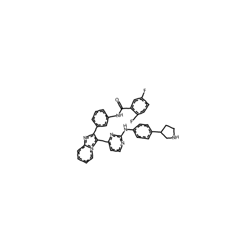 O=C(Nc1cccc(-c2nc3ccccn3c2-c2ccnc(Nc3ccc(C4CCNC4)cc3)n2)c1)c1cc(F)ccc1F